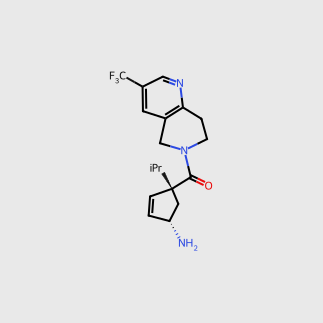 CC(C)[C@]1(C(=O)N2CCc3ncc(C(F)(F)F)cc3C2)C=C[C@@H](N)C1